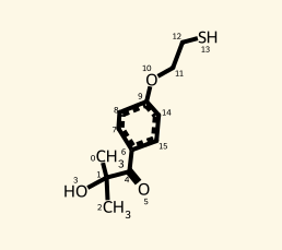 CC(C)(O)C(=O)c1ccc(OCCS)cc1